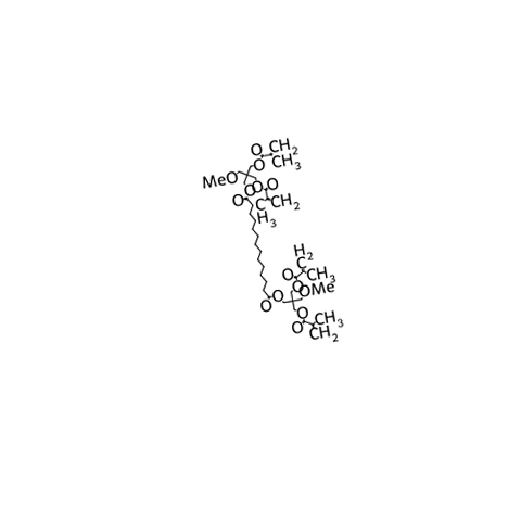 C=C(C)C(=O)OCC(COC)(COC(=O)CCCCCCCCCCCCC(=O)OCC(COC)(COC(=O)C(=C)C)COC(=O)C(=C)C)COC(=O)C(=C)C